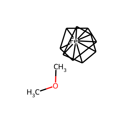 COC.[CH]12[CH]3[CH]4[CH]5[CH]1[Fe]23451678[CH]2[CH]1[CH]6[CH]7[CH]28